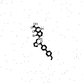 CCc1ccc(-c2ccc(C(=O)N3CCCC3CNc3ccc4[nH]cc(C(=O)O)c(=O)c4c3Br)cc2)cc1